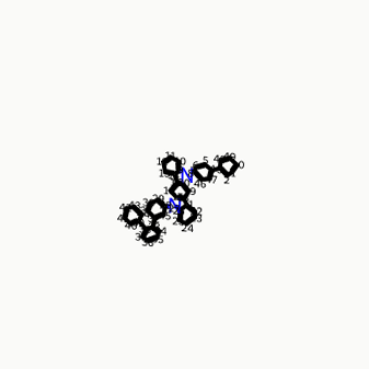 c1ccc(-c2ccc(-n3c4ccccc4c4cc5c(cc43)c3ccccc3n5-c3cccc(-c4ccccc4-c4ccccc4)c3)cc2)cc1